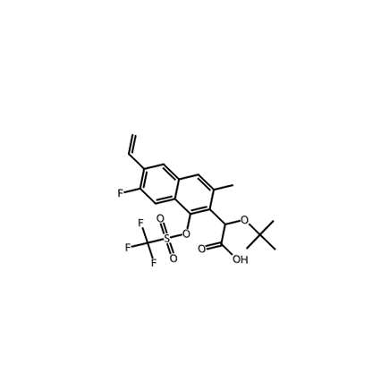 C=Cc1cc2cc(C)c(C(OC(C)(C)C)C(=O)O)c(OS(=O)(=O)C(F)(F)F)c2cc1F